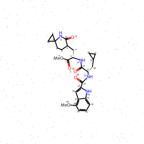 COC(=O)[C@H](CC1CCC2(CC2)NC1=O)NC(=O)[C@H](CC1CC1)NC(=O)c1cc2c(OC)cccc2[nH]1